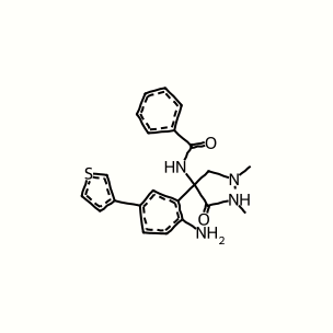 CNC(=O)C(CN(C)C)(NC(=O)c1ccccc1)c1cc(-c2ccsc2)ccc1N